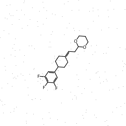 Fc1cc(C2CCC(=CCC3OCCCO3)CC2)cc(F)c1F